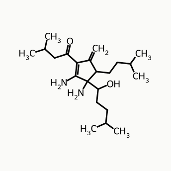 C=C1C(C(=O)CC(C)C)=C(N)C(N)(C(O)CCC(C)C)C1CCC(C)C